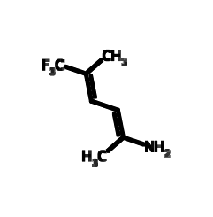 C/C(N)=C\C=C(/C)C(F)(F)F